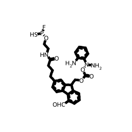 Nc1ccccc1N(N)OC(=O)OCC1c2cc(CCCC(=O)NCCOP(F)S)ccc2-c2c(C=O)cccc21